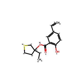 C=Cc1ccc(O)c(C(=O)OC2(CC)CCSC2)c1